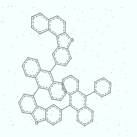 c1ccc(-c2c3ccccc3c(-c3ccc4oc5cccc(-c6c7ccccc7c(-c7ccc8oc9ccc%10ccccc%10c9c8c7)c7ccccc67)c5c4c3)c3ccccc23)cc1